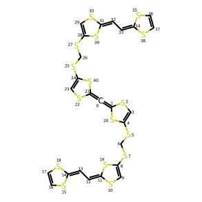 C(=C1SC=C(SCSC2=CSC(=CC=C3SC=CS3)S2)S1)=C1SC=C(SCSC2=CSC(=CC=C3SC=CS3)S2)S1